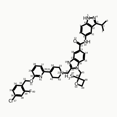 CC(C)c1n[nH]c2ccc(NC(=O)c3ccc4c(c3)nc(CN3CC=C(c5cccc(OCc6ccc(Cl)cc6F)n5)CC3)n4CC3([SiH3])CCO3)cc12